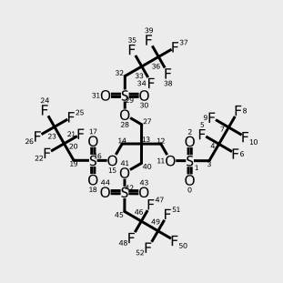 O=S(=O)(CC(F)(F)C(F)(F)F)OCC(COS(=O)(=O)CC(F)(F)C(F)(F)F)(COS(=O)(=O)CC(F)(F)C(F)(F)F)COS(=O)(=O)CC(F)(F)C(F)(F)F